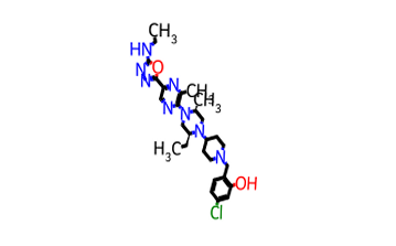 CCNc1nnc(-c2cnc(N3C[C@H](CC)N(C4CCN(Cc5ccc(Cl)cc5O)CC4)C[C@H]3C)c(C)n2)o1